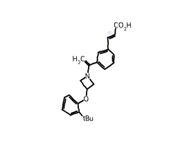 C=C(c1cccc(/C=C/C(=O)O)c1)N1CC(Oc2ccccc2C(C)(C)C)C1